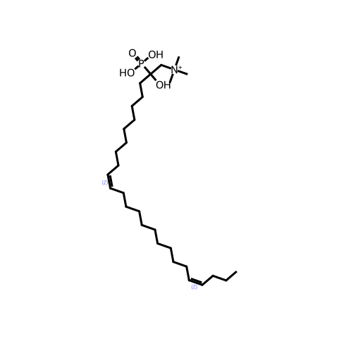 CCC/C=C\CCCCCCCCC/C=C\CCCCCCCCC(O)(C[N+](C)(C)C)P(=O)(O)O